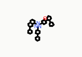 c1ccc(-c2ccc(-c3nc(-c4ccc5c(c4)oc4cccc(-c6ccccc6)c45)nc(-c4cccc5ccc(-c6ccccc6)cc45)n3)cc2)cc1